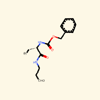 CC(C)C[C@H](NC(=O)OCc1ccccc1)C(=O)NCCC=O